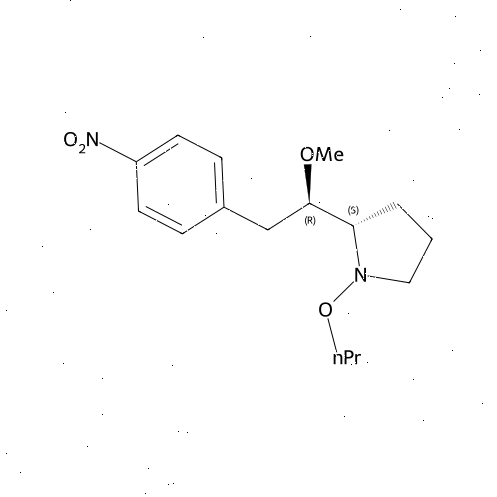 CCCON1CCC[C@H]1[C@@H](Cc1ccc([N+](=O)[O-])cc1)OC